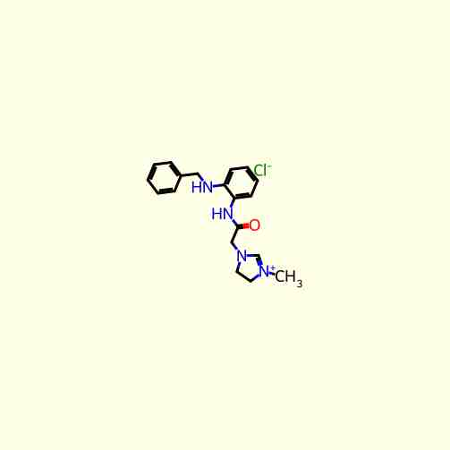 C[N+]1=CN(CC(=O)Nc2ccccc2NCc2ccccc2)CC1.[Cl-]